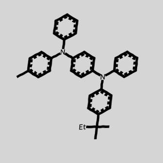 CCC(C)(C)c1ccc(N(c2ccccc2)c2ccc(N(c3ccccc3)c3ccc(C)cc3)cc2)cc1